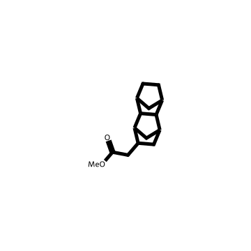 COC(=O)CC1CC2CC1C1C3CCC(C3)C21